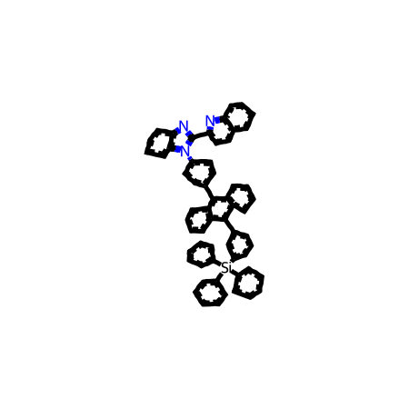 c1ccc([Si](c2ccccc2)(c2ccccc2)c2cccc(-c3c4ccccc4c(-c4ccc(-n5c(-c6ccc7ccccc7n6)nc6ccccc65)cc4)c4ccccc34)c2)cc1